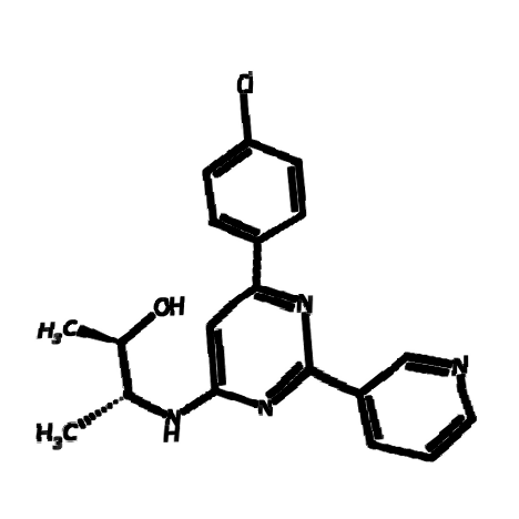 C[C@@H](O)[C@@H](C)Nc1cc(-c2ccc(Cl)cc2)nc(-c2cccnc2)n1